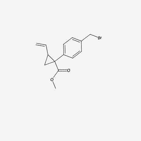 C=CC1CC1(C(=O)OC)c1ccc(CBr)cc1